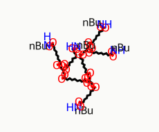 CCCCNOC(=O)CCCCCCCC(=O)OCC(COC(=O)CCCCCCCC(=O)OCC(COC(=O)CCCCCCCC(=O)ONCCCC)OC(=O)CCCCCCCC(=O)ONCCCC)OC(=O)CCCCCCCC(=O)OCC(COC(=O)CCCCCCCC(=O)ONCCCC)OC(=O)CCCCCCCC(=O)ONCCCC